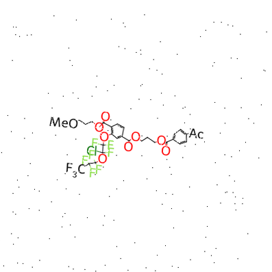 COCCCOC(=O)c1ccc(C(=O)OCCCOC(=O)c2ccc(C(C)=O)cc2)cc1OC(F)(F)C(F)(Cl)OC(F)(F)C(F)(F)C(F)(F)F